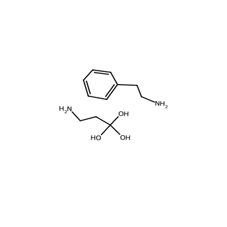 NCCC(O)(O)O.NCCc1ccccc1